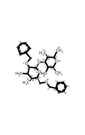 CC1C(OCc2ccccc2)[C@@H](O[C@@H]2C(O)[C@H](C)OC(C)[C@@H]2C)O[C@@H](COCc2ccccc2)[C@H]1C